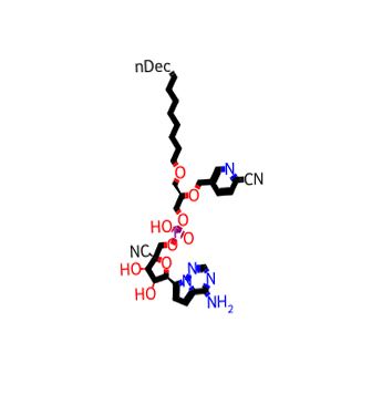 CCCCCCCCCCCCCCCCCCOC[C@H](COP(=O)(O)OC[C@@]1(C#N)O[C@@H](c2ccc3c(N)ncnn23)[C@H](O)[C@@H]1O)OCc1ccc(C#N)nc1